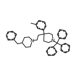 Cc1cccc(C2(CCN3CCC(Cc4ccccc4)CC3)CCN(C(c3ccccc3)(c3ccccc3)c3ccccc3)CC2)c1